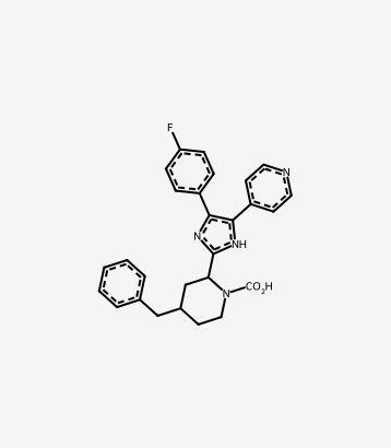 O=C(O)N1CCC(Cc2ccccc2)CC1c1nc(-c2ccc(F)cc2)c(-c2ccncc2)[nH]1